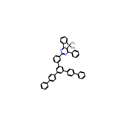 C[Si]1(C)c2ccccc2-c2nc(-c3cccc(-c4cc(-c5ccc(-c6ccccc6)cc5)cc(-c5ccc(-c6ccccc6)cc5)c4)c3)nc(-c3ccccc3)c21